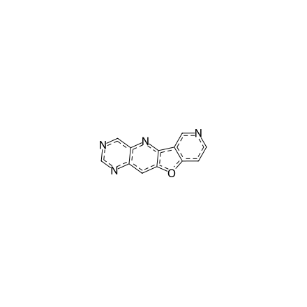 c1cc2oc3cc4ncncc4nc3c2cn1